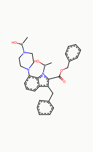 CB(O)N1CCN(c2cccc3c(Cc4ccccc4)c(C(=O)OCc4ccccc4)n(B(C)O)c23)CC1